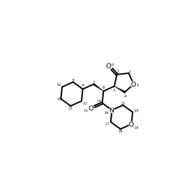 O=C1CO[CH][C@H]1[C@H](CC1CCCCC1)C(=O)N1CCOCC1